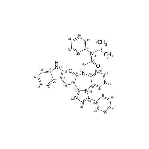 CC(C)N(C(=O)CN1C(=O)C(Cc2c[nH]c3ccccc23)c2nnc(-c3ccccc3)n2-c2cncnc21)c1ccccc1